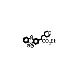 CCOC(=O)C(CC1CCOCC1)c1ccc2c(c1)N(C)c1ccccc1S2(=O)=O